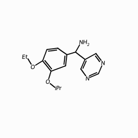 CCOc1ccc(C(N)c2cncnc2)cc1OC(C)C